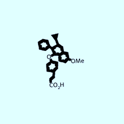 COc1ccc2c(Oc3ccc(C=CC(=O)O)cc3)c(-c3ccccc3)c(C3CC3)cc2c1